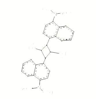 CCCCCCCCN(CCCCCCCC)c1ccc(C2C(O)C(c3ccc(N(CCCCCCCC)CCCCCCCC)c4ccccc34)C2O)c2ccccc12